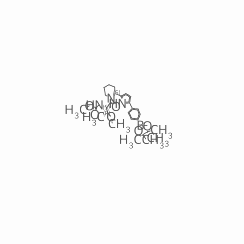 COC(=O)N[C@H](C(=O)N1CCCC[C@H]1c1ccc(-c2ccc(B3OC(C)(C)C(C)(C)O3)cc2)[nH]1)[C@@H](C)OC